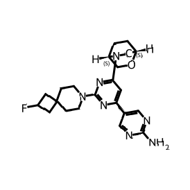 Nc1ncc(-c2cc(N3C[C@@H]4CC[C@H]3CO4)nc(N3CCC4(CC3)CC(F)C4)n2)cn1